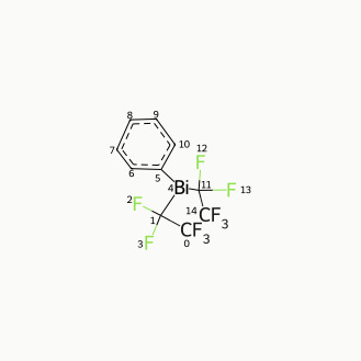 FC(F)(F)[C](F)(F)[Bi]([c]1ccccc1)[C](F)(F)C(F)(F)F